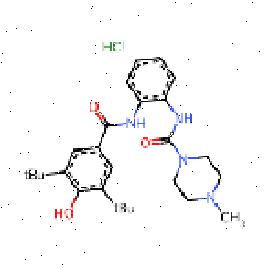 CN1CCN(C(=O)Nc2ccccc2NC(=O)c2cc(C(C)(C)C)c(O)c(C(C)(C)C)c2)CC1.Cl